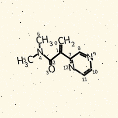 C=C(C(=O)N(C)C)c1cnccn1